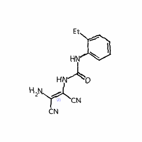 CCc1ccccc1NC(=O)N/C(C#N)=C(\N)C#N